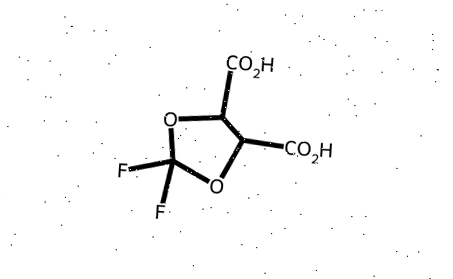 O=C(O)C1OC(F)(F)OC1C(=O)O